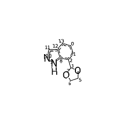 c1cc(C2OCCO2)c2[nH]ncc2c1